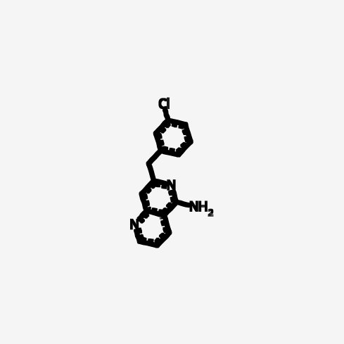 Nc1nc(Cc2cccc(Cl)c2)cc2ncccc12